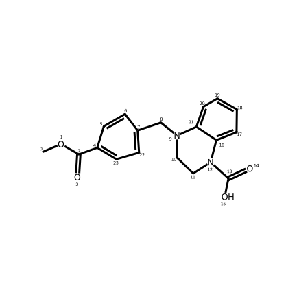 COC(=O)c1ccc(CN2CCN(C(=O)O)c3ccccc32)cc1